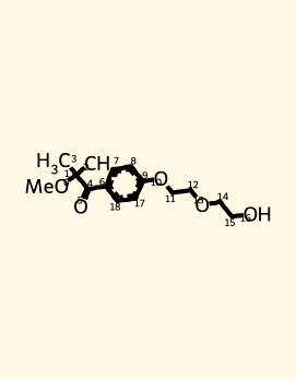 COC(C)(C)C(=O)c1ccc(OCCOCCO)cc1